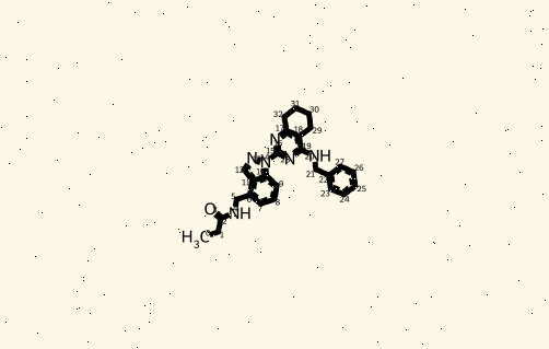 CCC(=O)NCc1cccc2c1cnn2-c1nc2c(c(NCc3ccccc3)n1)CCCC2